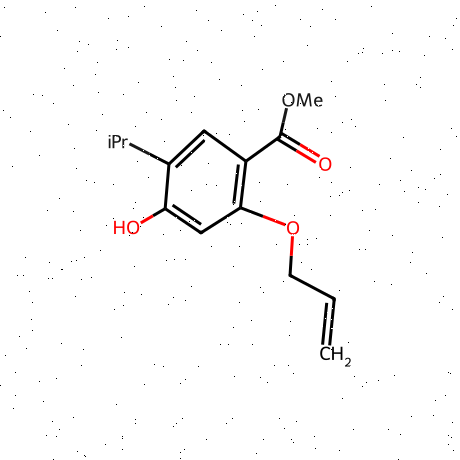 C=CCOc1cc(O)c(C(C)C)cc1C(=O)OC